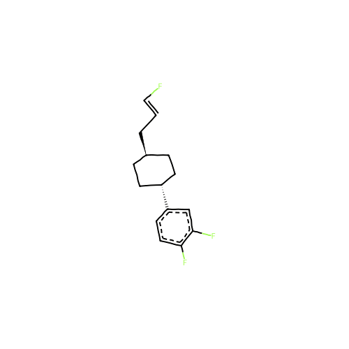 FC=CC[C@H]1CC[C@H](c2ccc(F)c(F)c2)CC1